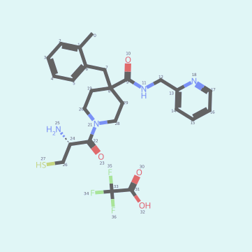 Cc1ccccc1CC1(C(=O)NCc2ccccn2)CCN(C(=O)[C@@H](N)CS)CC1.O=C(O)C(F)(F)F